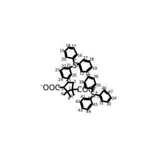 CC1(C(=O)[O-])CCC(C(=O)[O-])C1(C)C.c1ccc([S+](c2ccccc2)c2ccccc2)cc1.c1ccc([S+](c2ccccc2)c2ccccc2)cc1